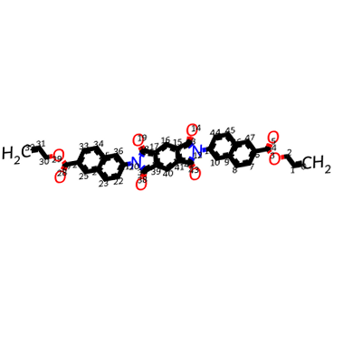 C=CCOC(=O)c1ccc2cc(-n3c(=O)c4cc5c(=O)n(-c6ccc7cc(C(=O)OCC=C)ccc7c6)c(=O)c5cc4c3=O)ccc2c1